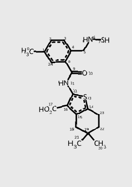 Cc1ccc(CNS)c(C(=O)Nc2sc3c(c2C(=O)O)CC(C)(C)CC3)c1